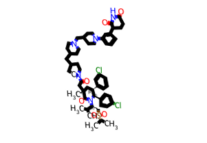 CC(C)[C@@H](CS(=O)(=O)C(C)C)N1C(=O)[C@@](C)(CC(=O)N2CCC(CC3CCN(CC4CCN(c5cccc(C6CCC(=O)NC6=O)c5)CC4)CC3)CC2)C[C@H](c2cccc(Cl)c2)[C@H]1c1ccc(Cl)cc1